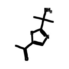 CC(=O)c1cnc(C(C)(C)N)s1